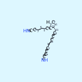 C=CC(=C=C=C=C=C=C=C=N)C=C=C=C=C=C=C=C=C=C=N